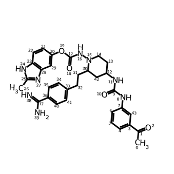 CC(=O)c1cccc(NC(=O)NC2CCN(NC(=O)Oc3ccc4[nH]c(C)nc4c3)C(CCc3ccc(C(=N)N)cc3)C2)c1